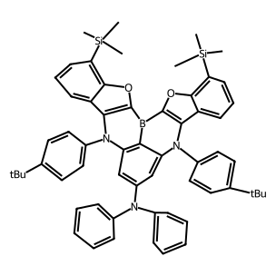 CC(C)(C)c1ccc(N2c3cc(N(c4ccccc4)c4ccccc4)cc4c3B(c3oc5c([Si](C)(C)C)cccc5c32)c2oc3c([Si](C)(C)C)cccc3c2N4c2ccc(C(C)(C)C)cc2)cc1